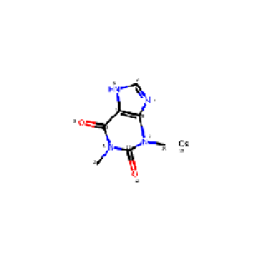 Cn1c(=O)c2[nH]cnc2n(C)c1=O.[Os]